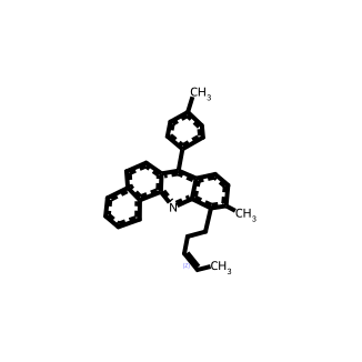 C/C=C\CCc1c(C)ccc2c(-c3ccc(C)cc3)c3ccc4ccccc4c3nc12